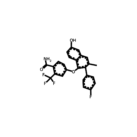 Cc1cc2cc(O)ccc2c(Oc2ccc(C(N)=O)c(C(F)(F)F)c2)c1-c1ccc(F)cc1